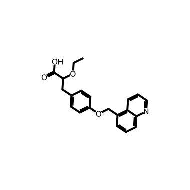 CCOC(Cc1ccc(OCc2cccc3ncccc23)cc1)C(=O)O